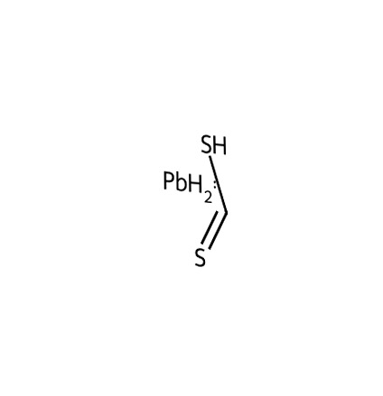 S=CS.[PbH2]